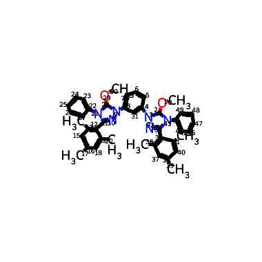 COC1N(c2cccc(N3N=C(c4c(C)cc(C)cc4C)N(c4ccccc4)C3OC)c2)N=C(c2c(C)cc(C)cc2C)N1c1ccccc1